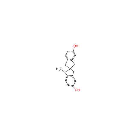 CC1c2ccc(O)cc2CC12Cc1ccc(O)cc1C2